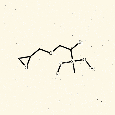 CCO[Si](C)(OCC)C(CC)COCC1CO1